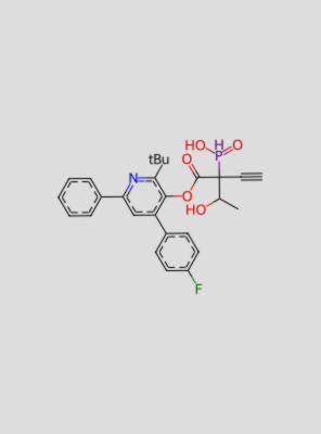 C#CC(C(=O)Oc1c(-c2ccc(F)cc2)cc(-c2ccccc2)nc1C(C)(C)C)(C(C)O)[PH](=O)O